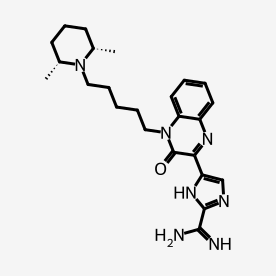 C[C@@H]1CCC[C@H](C)N1CCCCCn1c(=O)c(-c2cnc(C(=N)N)[nH]2)nc2ccccc21